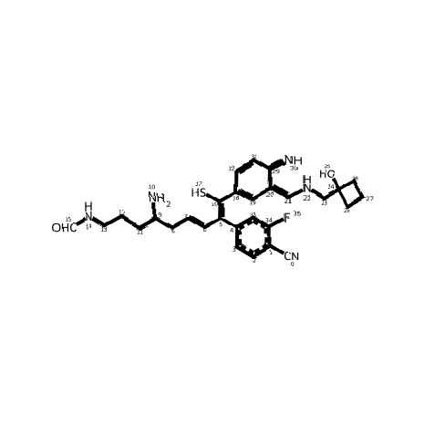 N#Cc1ccc(C(/C=C/CC(N)CCCNC=O)=C(/S)C2=C/C(=C/NCC3(O)CCC3)C(=N)C=C2)cc1F